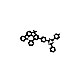 CC1(C)c2cc(-c3ccc(-c4nc(-c5ccccc5)nc(-c5ccc(F)cc5)n4)cc3)cc3c2-c2c1ccc1c4ccccc4n(c21)-c1ccccc1-3